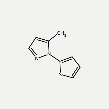 Cc1ccnn1-c1cccs1